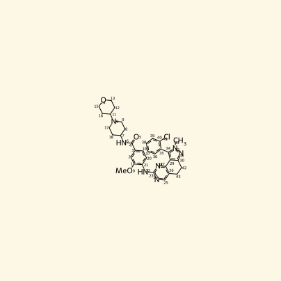 COc1cc(C(=O)NC2CCN(C3CCOCC3)CC2)ccc1Nc1ncc2c(n1)-c1c(nn(C)c1-c1ccccc1Cl)CC2